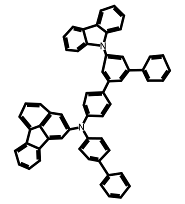 c1ccc(-c2ccc(N(c3ccc(-c4cc(-c5ccccc5)cc(-n5c6ccccc6c6ccccc65)c4)cc3)c3cc4c5c(cccc5c3)-c3ccccc3-4)cc2)cc1